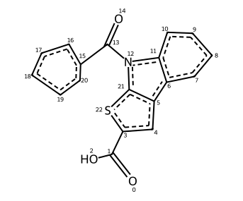 O=C(O)c1cc2c3ccccc3n(C(=O)c3ccccc3)c2s1